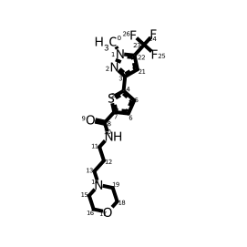 Cn1nc(-c2ccc(C(=O)NCCCN3CCOCC3)s2)cc1C(F)(F)F